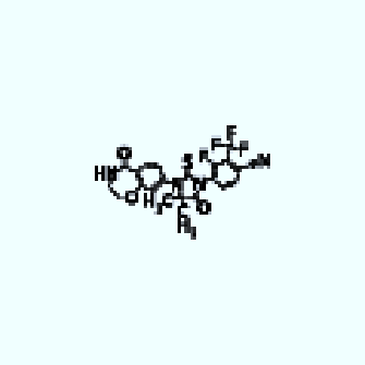 CC1(C)C(=O)N(c2ccc(C#N)c(C(F)(F)F)c2F)C(=S)N1c1ccc2c(c1)OCCNC2=O